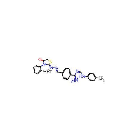 CC(C)c1ccccc1N1C(=O)CS/C1=N\N=C\c1ccc(C(=N)/N=C\Nc2ccc(C(F)(F)F)cc2)cc1